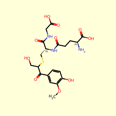 COc1cc(C(=O)C(CO)SC[C@@H](NC(=O)CC[C@H](N)C(=O)O)C(=O)NCC(=O)O)ccc1O